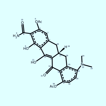 CC(=O)Oc1cc2c(c(O)c1C(N)=O)C(O)=C1C(=O)c3c(OC(C)=O)ccc(N(C)C)c3C[C@H]1C2